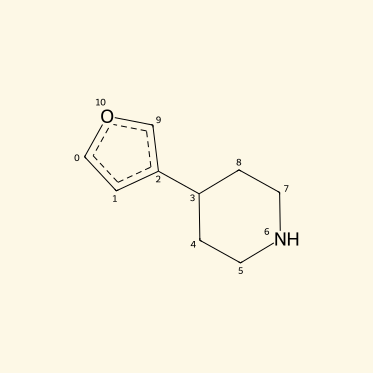 c1cc(C2CCNCC2)co1